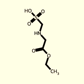 CCOC(=O)CNCS(=O)(=O)O